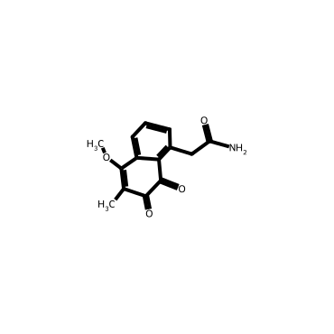 COC1=C(C)C(=O)C(=O)c2c(CC(N)=O)cccc21